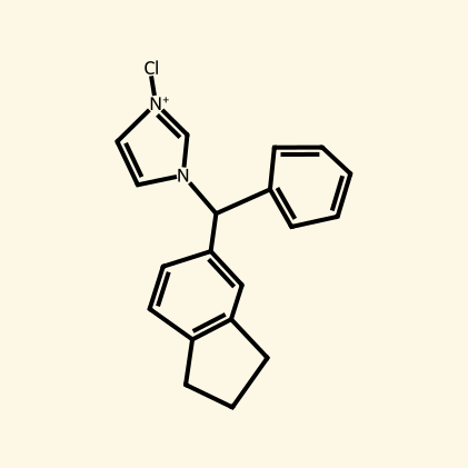 Cl[n+]1ccn(C(c2ccccc2)c2ccc3c(c2)CCC3)c1